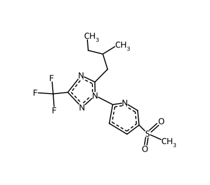 CCC(C)Cc1nc(C(F)(F)F)nn1-c1ccc(S(C)(=O)=O)cn1